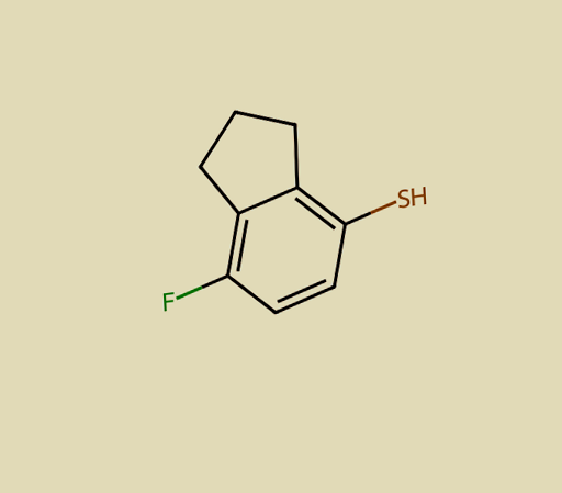 Fc1ccc(S)c2c1CCC2